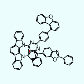 c1ccc(-c2nc(-c3ccc(-c4cccc5oc6ccccc6c45)cc3)nc(-n3c4ccccc4c4ccc5c6ccccc6n(-c6ccc(-c7ccc8nc(-c9ccccc9)oc8c7)cc6)c5c43)n2)cc1